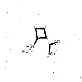 CCCCCCl.Cl.NC1CCC1